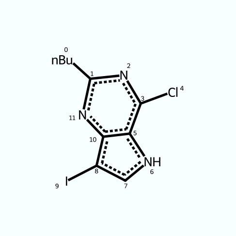 CCCCc1nc(Cl)c2[nH]cc(I)c2n1